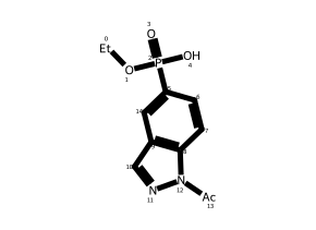 CCOP(=O)(O)c1ccc2c(cnn2C(C)=O)c1